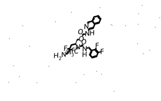 CN(C(=O)NCc1cccc(F)c1F)[C@H](COC(=O)Nc1cc2ccccc2cn1)CC(F)(F)CN